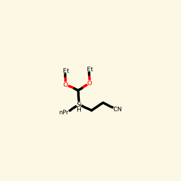 CCC[SiH](CCC#N)C(OCC)OCC